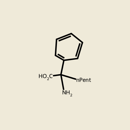 CCCCCC(N)(C(=O)O)c1ccccc1